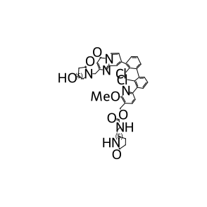 COc1nc(-c2cccc(-c3cccc(-c4ccn5c(=O)cc(CN6C[C@@H](O)CC6=O)nc5c4)c3Cl)c2Cl)ccc1COC(=O)NC[C@@H]1CCC(=O)N1